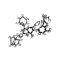 Nc1nc2c(-c3c(Cl)cc4c(N5CCCCCC5)nc(OCC56CCCN5CCC6)nc4c3F)ccc(F)c2s1